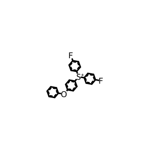 Fc1ccc([S+](c2ccc(F)cc2)c2ccc(Oc3ccccc3)cc2)cc1